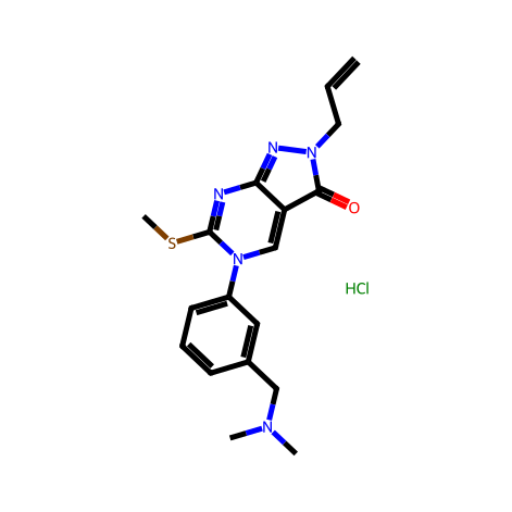 C=CCn1nc2nc(SC)n(-c3cccc(CN(C)C)c3)cc-2c1=O.Cl